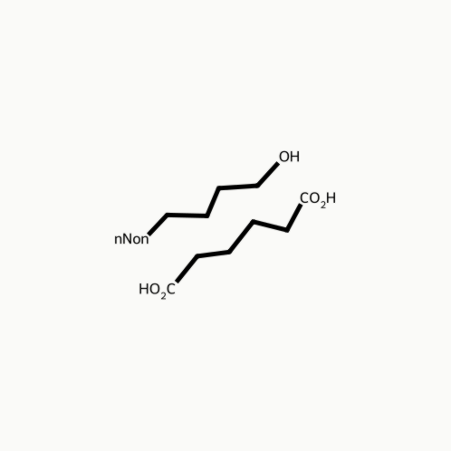 CCCCCCCCCCCCCO.O=C(O)CCCCC(=O)O